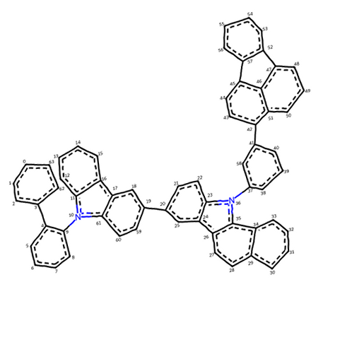 c1ccc(-c2ccccc2-n2c3ccccc3c3cc(-c4ccc5c(c4)c4ccc6ccccc6c4n5-c4cccc(-c5ccc6c7c(cccc57)-c5ccccc5-6)c4)ccc32)cc1